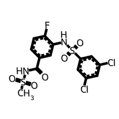 CS(=O)(=O)NC(=O)c1ccc(F)c(NS(=O)(=O)c2cc(Cl)cc(Cl)c2)c1